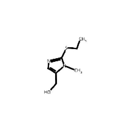 CCSc1ncc(CO)n1C